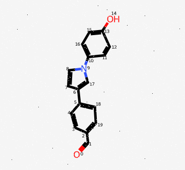 O=Cc1ccc(-c2ccn(-c3ccc(O)cc3)c2)cc1